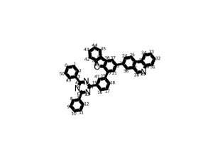 c1ccc(-c2nc(-c3ccccc3)nc(-c3cccc(-c4cc(-c5ccc6c(cnc7ccccc76)c5)cc5c4oc4ccccc45)c3)n2)cc1